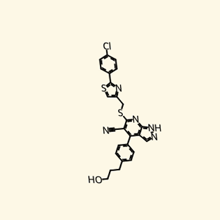 N#Cc1c(SCc2csc(-c3ccc(Cl)cc3)n2)nc2[nH]ncc2c1-c1ccc(CCCO)cc1